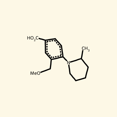 COCc1cc(C(=O)O)ccc1N1CCCCC1C